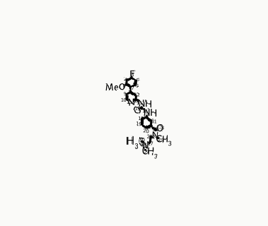 COc1cc(F)ccc1-c1ccnc(NC(=O)Nc2cccc(C(=O)N(C)CCN(C)C)c2)c1